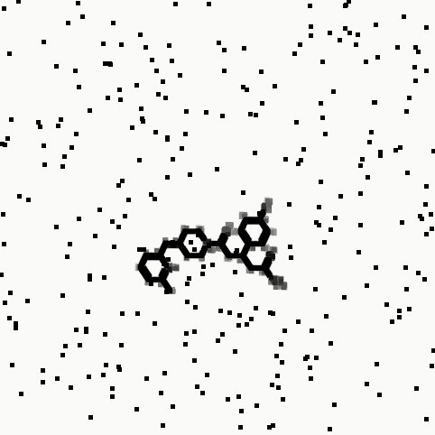 Cc1cccc(C=C2CCN(C(=O)CC(CC(N)=O)c3ccc(Cl)cc3)CC2)n1